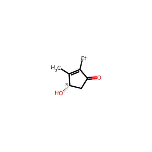 CCC1=C(C)[C@@H](O)CC1=O